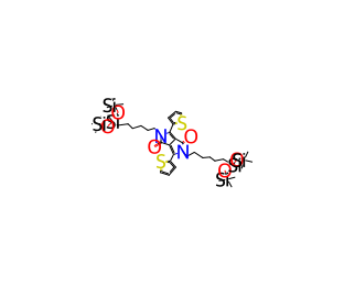 C[Si](C)(C)O[Si](C)(CCCCCCN1C(=O)C2=C(c3cccs3)N(CCCCCC[Si](C)(O[Si](C)(C)C)O[Si](C)(C)C)C(=O)C2=C1c1cccs1)O[Si](C)(C)C